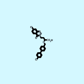 O=C(O)C(CCn1nnc2cc(Cl)ccc2c1=O)OCc1ccc(-c2ccc(Cl)cc2)cc1